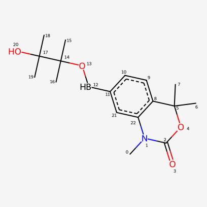 CN1C(=O)OC(C)(C)c2ccc(BOC(C)(C)C(C)(C)O)cc21